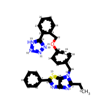 CCc1nc2nc(-c3ccccc3)sc2n1Cc1ccc(OCc2ccccc2-c2nnn[nH]2)cc1